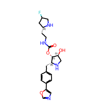 O=C(NCC[C@@H]1CC(F)CN1)O[C@@H]1[C@@H](O)CN[C@@H]1Cc1ccc(-c2cnco2)cc1